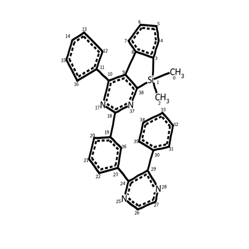 C[Si]1(C)c2ccccc2-c2c(-c3ccccc3)nc(-c3cccc(-c4nccnc4-c4ccccc4)c3)nc21